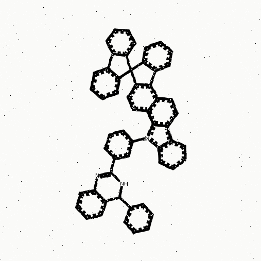 c1ccc(C2NC(c3cccc(-n4c5ccccc5c5ccc6c7c(ccc6c54)C4(c5ccccc5-c5ccccc54)c4ccccc4-7)c3)=Nc3ccccc32)cc1